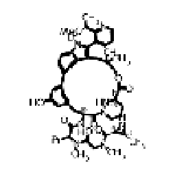 CCn1c(-c2cccnc2[C@H](C)OC)c2c3cc(ccc31)-c1cc(O)cc(c1)C[C@H](NC(=O)C(C(C)C)N(C)C(=O)CN(C)C(=O)[C@H]1N[C@@H]1C(F)(F)F)C(=O)N1CCC[C@H](N1)C(=O)OCC(C)(C)C2